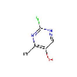 CC(C)c1nc(Cl)ncc1O